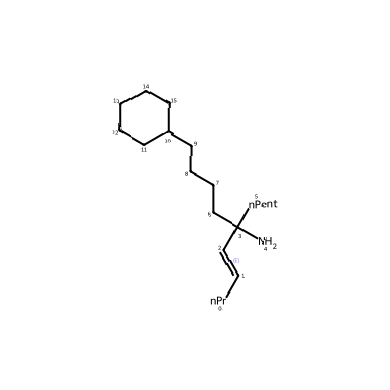 CCC/C=C/C(N)(CCCCC)CCCCC1CCCCC1